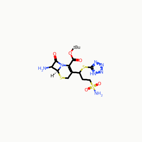 CC(C)(C)OC(=O)C1=C(C(CCS(N)(=O)=O)Sc2nnn[nH]2)CS[C@H]2C(N)C(=O)N12